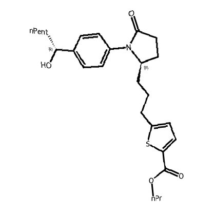 CCCCC[C@@H](O)c1ccc(N2C(=O)CC[C@H]2CCCc2ccc(C(=O)OCCC)s2)cc1